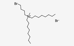 CCCCCCCC[N+](C)(CCCCBr)CCCCCCCC.[Br-]